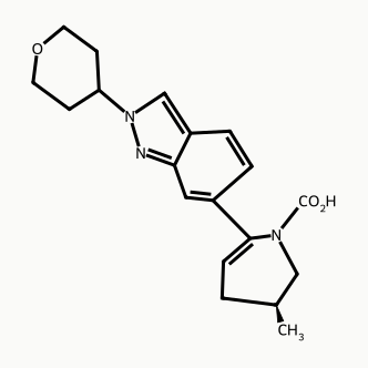 C[C@H]1CC=C(c2ccc3cn(C4CCOCC4)nc3c2)N(C(=O)O)C1